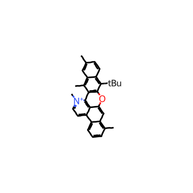 Cc1ccc2c(C(C)(C)C)c3c(c(C)c2c1)-c1c2c(cc4c(C)cccc4c2cc[n+]1C)O3